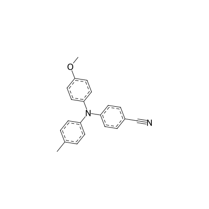 COc1ccc(N(c2ccc(C)cc2)c2ccc(C#N)cc2)cc1